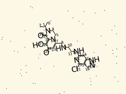 CC(C)N1CCn2c(CNCCNc3cc4[nH]ncc4c(Cl)n3)cc(=O)c(O)c2C1=O